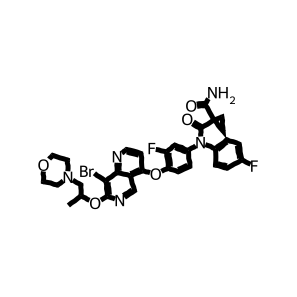 CC(CN1CCOCC1)Oc1ncc2c(Oc3ccc(N(C(=O)C4(C(N)=O)CC4)c4ccc(F)cc4)cc3F)ccnc2c1Br